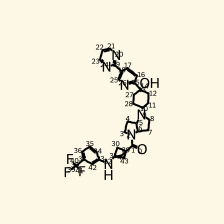 O=C(N1CCC2C1CCN2C1CCC(O)(c2ccc(-c3ncccn3)cn2)CC1)C12CC(Nc3cccc(C(F)(F)F)c3)(C1)C2